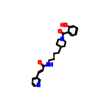 O=C(/C=C/c1cccnc1)NCCCCC1CCN(C(=O)c2ccccc2O)CC1